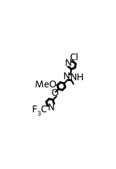 COc1cc(-c2nc(-c3ccc(Cl)nc3)[nH]c2C)ccc1OCc1ccc(C(F)(F)F)nc1